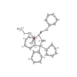 CCOC(=O)[C@@H](COc1ccccc1)NC(c1ccccc1)(c1ccccc1)c1ccccc1